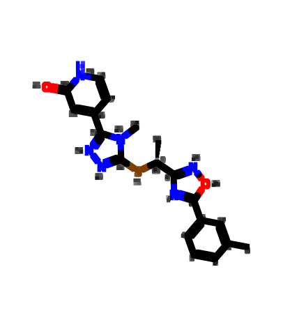 Cc1cccc(-c2nc([C@@H](C)Sc3nnc(-c4cc[nH]c(=O)c4)n3C)no2)c1